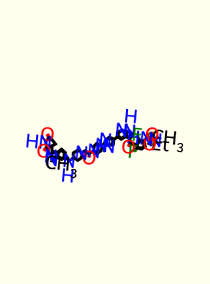 CCN(C)S(=O)(=O)Nc1ccc(F)c(C(=O)c2c[nH]c3ncc(-c4cnc(N5CCN(C(=O)CN6CCC(Nc7ccc8c(C9CCC(=O)NC9=O)nn(C)c8c7)CC6)CC5)nc4)cc23)c1F